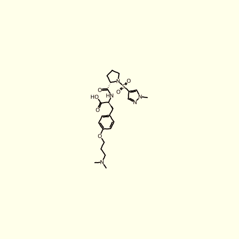 CN(C)CCCOc1ccc(C[C@H](NC(=O)[C@@H]2CCCN2S(=O)(=O)c2cnn(C)c2)C(=O)O)cc1